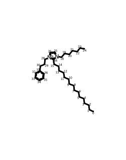 CCCCCCCCCCCCCCCCc1n(CCCCCCC)cc[n+]1CCCc1ccccc1